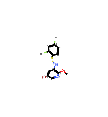 COc1ncc(Br)cc1NSc1ccc(F)cc1F